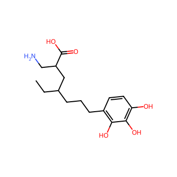 CCC(CCCc1ccc(O)c(O)c1O)CC(CN)C(=O)O